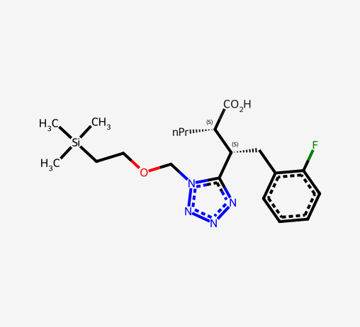 CCC[C@H](C(=O)O)[C@H](Cc1ccccc1F)c1nnnn1COCC[Si](C)(C)C